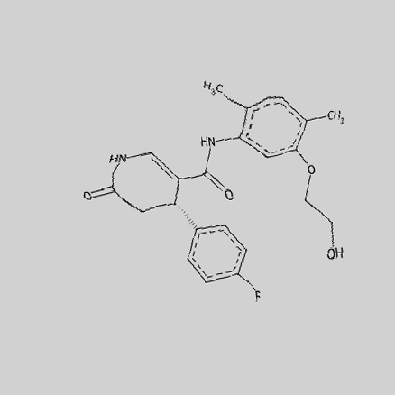 Cc1cc(C)c(OCCO)cc1NC(=O)C1=CNC(=O)C[C@H]1c1ccc(F)cc1